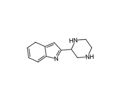 C1=CCC2=CC(C3CNCCN3)=NC2=C1